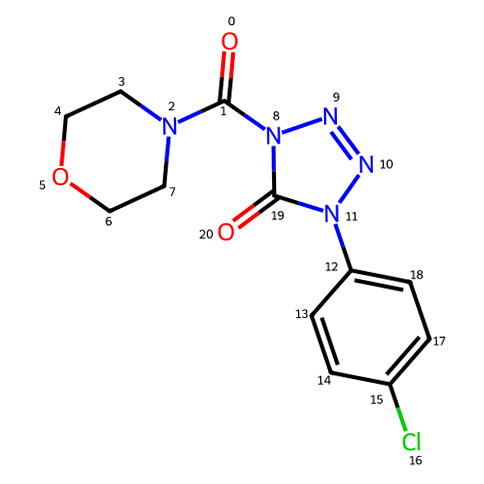 O=C(N1CCOCC1)n1nnn(-c2ccc(Cl)cc2)c1=O